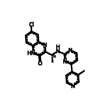 Cc1cnccc1-c1ccnc(N[C@@H](C)c2nc3cc(Cl)ccc3[nH]c2=O)n1